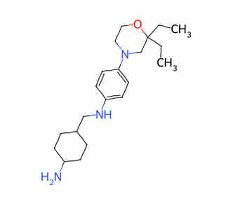 CCC1(CC)CN(c2ccc(NCC3CCC(N)CC3)cc2)CCO1